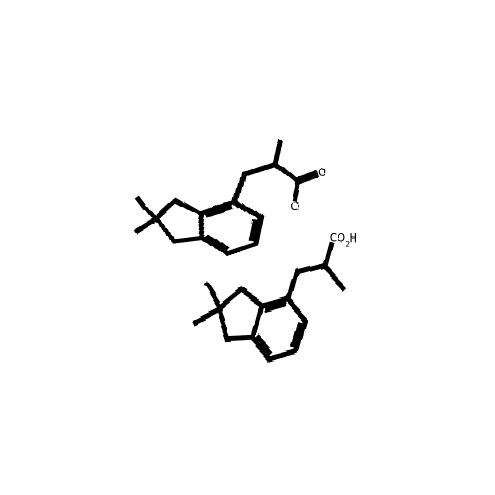 CC(Cc1cccc2c1CC(C)(C)C2)C(=O)Cl.CC(Cc1cccc2c1CC(C)(C)C2)C(=O)O